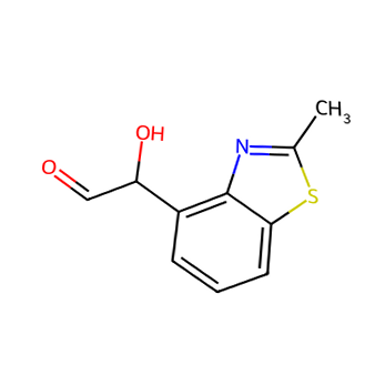 Cc1nc2c(C(O)C=O)cccc2s1